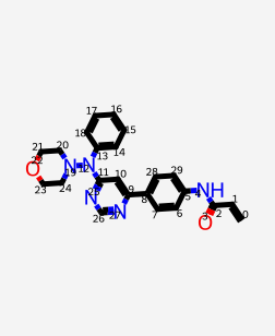 C=CC(=O)Nc1ccc(-c2cc(N(c3ccccc3)N3CCOCC3)ncn2)cc1